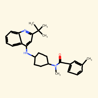 Cc1cccc(C(=O)N(C)C2CCC(Nc3cc(C(C)(C)C)nc4ccccc34)CC2)c1